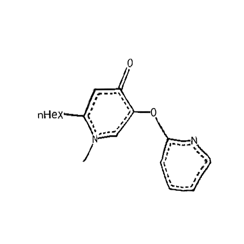 CCCCCCc1cc(=O)c(Oc2ccccn2)cn1C